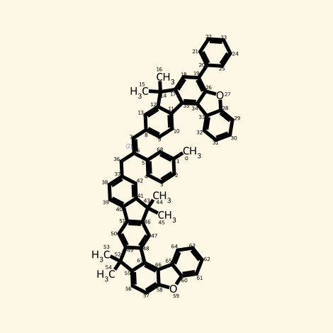 Cc1cccc(/C(=C\c2ccc3c(c2)C(C)(C)c2cc(-c4ccccc4)c4oc5ccccc5c4c2-3)Cc2ccc3c(c2)C(C)(C)c2cc4c(cc2-3)C(C)(C)c2ccc3oc5ccccc5c3c2-4)c1